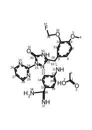 CC(=O)O.COc1ccc([C@H](Nc2ccc(C(=N)N)cc2)c2nn(-c3ncccn3)c(=O)[nH]2)cc1OCF